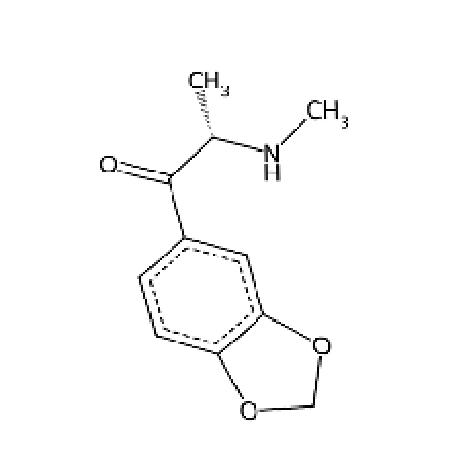 CN[C@@H](C)C(=O)c1ccc2c(c1)OCO2